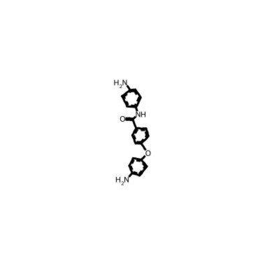 Nc1ccc(NC(=O)c2ccc(Oc3ccc(N)cc3)cc2)cc1